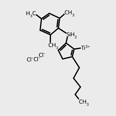 CCCCCC1=[C]([Ti+3])C([SiH2]c2c(C)cc(C)cc2C)=CC1.[Cl-].[Cl-].[Cl-]